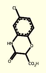 O=C(O)C1Oc2ccc(Cl)cc2NC1=O